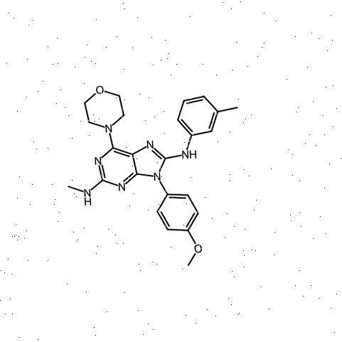 CNc1nc(N2CCOCC2)c2nc(Nc3cccc(C)c3)n(-c3ccc(OC)cc3)c2n1